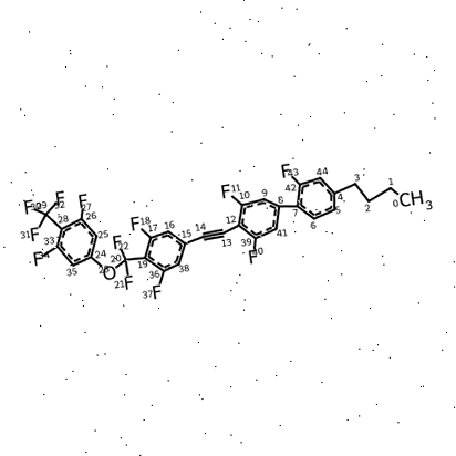 CCCCc1ccc(-c2cc(F)c(C#Cc3cc(F)c(C(F)(F)Oc4cc(F)c(C(F)(F)F)c(F)c4)c(F)c3)c(F)c2)c(F)c1